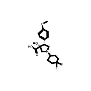 COc1ccc([C@@H]2CN(C3CCC(F)(F)CC3)C[C@@]2(OC)C(=O)O)cc1